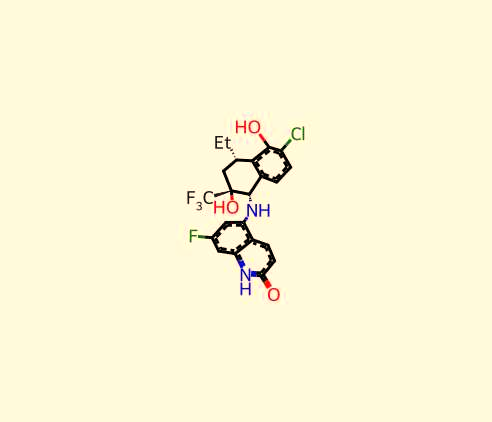 CC[C@H]1C[C@](O)(C(F)(F)F)[C@@H](Nc2cc(F)cc3[nH]c(=O)ccc23)c2ccc(Cl)c(O)c21